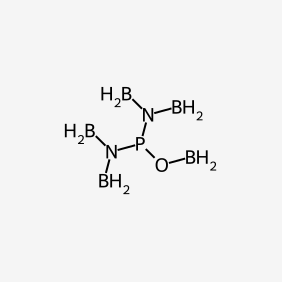 BOP(N(B)B)N(B)B